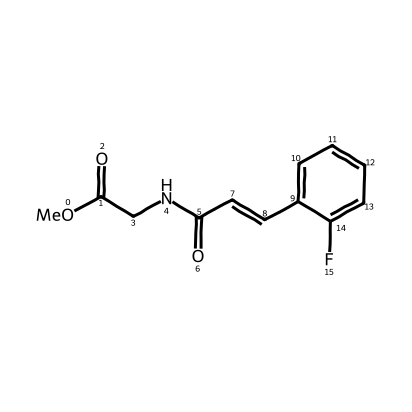 COC(=O)CNC(=O)C=Cc1ccccc1F